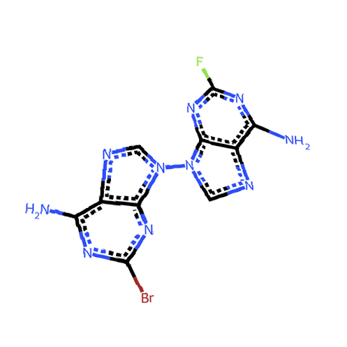 Nc1nc(F)nc2c1ncn2-n1cnc2c(N)nc(Br)nc21